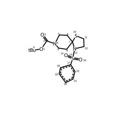 CC(C)(C)OC(=O)N1CCC2(CC1)SCCN2S(=O)(=O)c1ccccc1